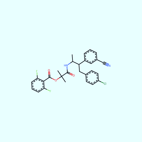 CC(NC(=O)C(C)(C)OC(=O)c1c(F)cccc1F)C(Cc1ccc(Cl)cc1)c1cccc(C#N)c1